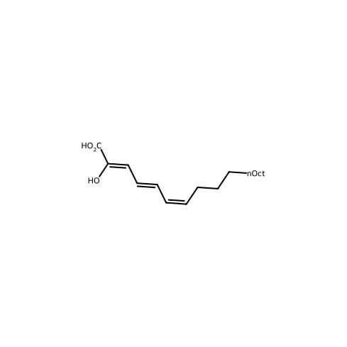 CCCCCCCCCCC/C=C\C=CC=C(O)C(=O)O